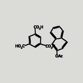 CC(=O)Oc1ccc2ccccc2c1.O=C(O)c1cc(C(=O)O)cc(C(=O)O)c1